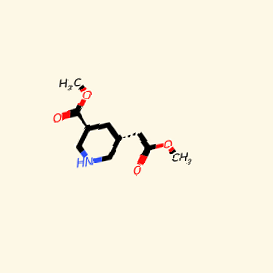 COC(=O)C[C@@H]1CNC[C@@H](C(=O)OC)C1